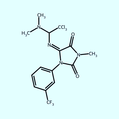 CN1C(=O)C(=NC(N(C)C)C(Cl)(Cl)Cl)N(c2cccc(C(F)(F)F)c2)C1=O